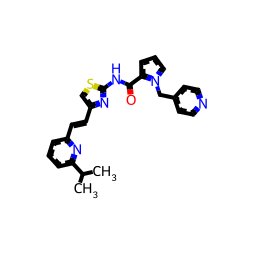 CC(C)c1cccc(C=Cc2csc(NC(=O)c3cccn3Cc3ccncc3)n2)n1